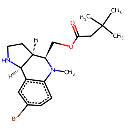 CN1c2ccc(Br)cc2[C@H]2NCC[C@H]2[C@H]1COC(=O)CC(C)(C)C